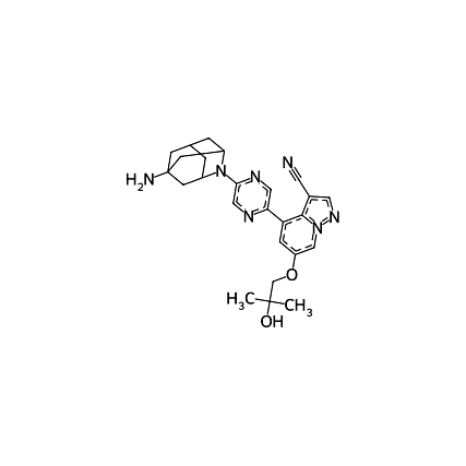 CC(C)(O)COc1cc(-c2cnc(N3C4CC5CC3CC(N)(C5)C4)cn2)c2c(C#N)cnn2c1